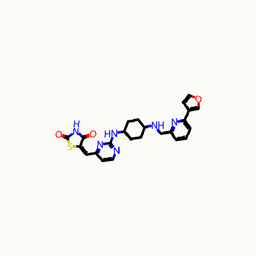 O=C1NC(=O)/C(=C\c2ccnc(NC3CCC(NCc4cccc(-c5ccoc5)n4)CC3)n2)S1